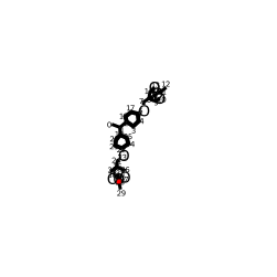 CC(c1ccc(OCC23COC(C)(OC2)OC3)cc1)c1ccc(OCC23COC(C)(OC2)OC3)cc1